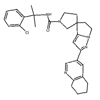 CC(C)(NC(=O)N1CCC2(CCn3nc(-c4cnc5c(c4)CCCC5)cc32)C1)c1ccccc1Cl